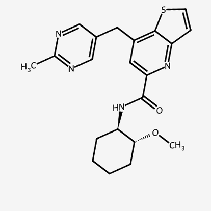 CO[C@@H]1CCCC[C@H]1NC(=O)c1cc(Cc2cnc(C)nc2)c2sccc2n1